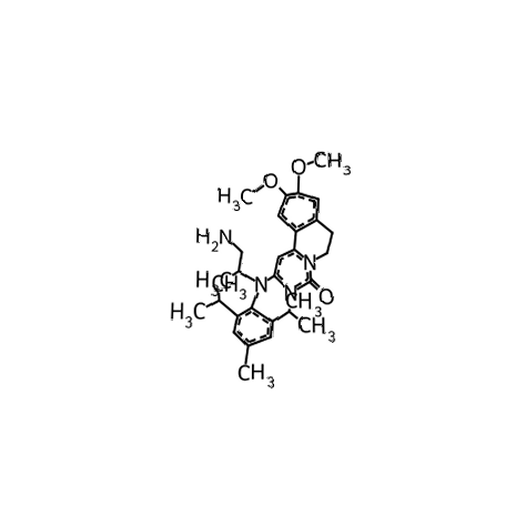 COc1cc2c(cc1OC)-c1cc(N(c3c(C(C)C)cc(C)cc3C(C)C)C(C)CN)nc(=O)n1CC2